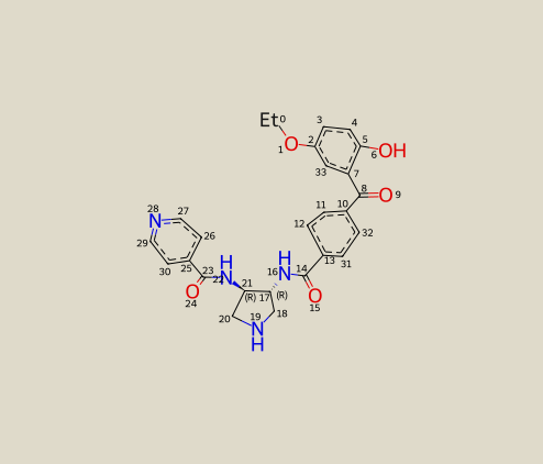 CCOc1ccc(O)c(C(=O)c2ccc(C(=O)N[C@@H]3CNC[C@H]3NC(=O)c3ccncc3)cc2)c1